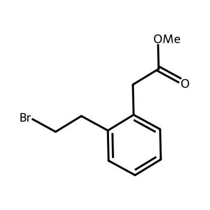 COC(=O)Cc1ccccc1CCBr